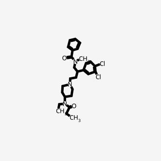 CCC(=O)N(CC)C1CCN(CCC(CN(C)C(=O)c2ccccc2)c2ccc(Cl)c(Cl)c2)CC1